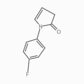 O=C1CC=CN1c1ccc(F)cc1